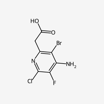 Nc1c(F)c(Cl)nc(CC(=O)O)c1Br